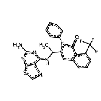 C[C@H](Nc1nc(N)nc2scnc12)c1cc2cccc(C(F)(F)F)c2c(=O)n1-c1ccccc1